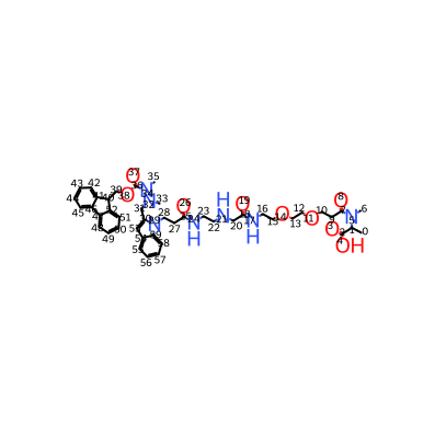 CC(C(=O)O)N(C)C(=O)CCOCCOCCNC(=O)CNCCNC(=O)CCn1c(CN(C)N(C)C(=O)OCC2c3ccccc3-c3ccccc32)cc2ccccc21